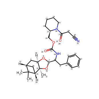 CC1(C)[C@@H]2C[C@H]3OB(C(Cc4ccccc4)NC(=O)OC[C@H]4CCCCN4C(=O)CC#N)O[C@@]3(C)[C@H]1C2